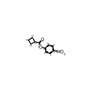 O=C(Oc1ccc([N+](=O)[O-])cc1)C1CCC1